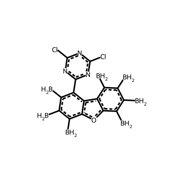 Bc1c(B)c(B)c2c(oc3c(B)c(B)c(B)c(-c4nc(Cl)nc(Cl)n4)c32)c1B